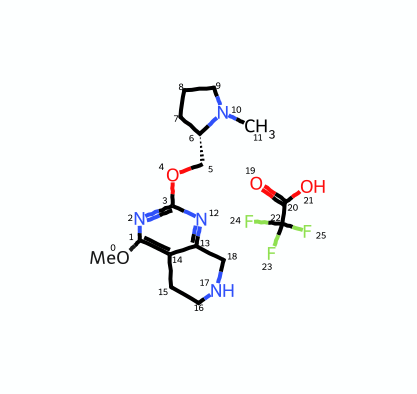 COc1nc(OC[C@@H]2CCCN2C)nc2c1CCNC2.O=C(O)C(F)(F)F